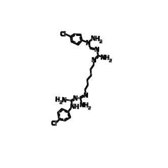 NC(N=CN(N)c1ccc(Cl)cc1)=NCCCCCCN=C(N)N=C(N)Nc1ccc(Cl)cc1